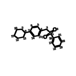 O=S(=O)(Cc1ccc(C2CCCCC2)cc1)c1ccccc1